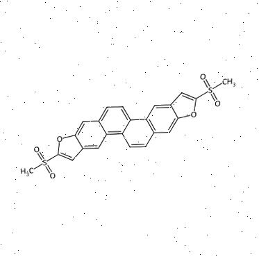 CS(=O)(=O)c1cc2cc3c(ccc4c5cc6cc(S(C)(=O)=O)oc6cc5ccc34)cc2o1